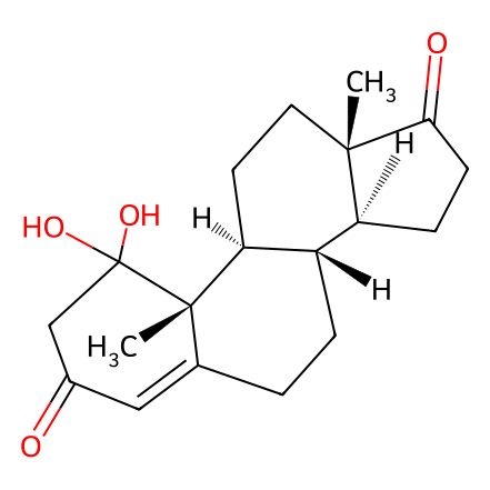 C[C@@]12C(=CC(=O)CC1(O)O)CC[C@@H]1[C@@H]2CC[C@]2(C)C(=O)CC[C@@H]12